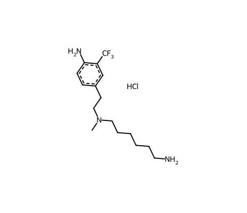 CN(CCCCCCN)CCc1ccc(N)c(C(F)(F)F)c1.Cl